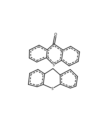 O=c1c2ccccc2sc2ccccc12.c1ccc2c(c1)Cc1ccccc1S2